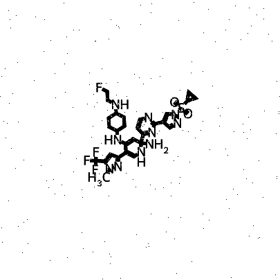 Cn1nc(C2=CNC(N)(c3ccnc(-c4cnn(S(=O)(=O)C5CC5)c4)n3)C=C2NC2CCC(NCCF)CC2)cc1C(F)(F)F